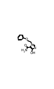 NC(=O)c1c(O)ncn1CCOc1ccccc1